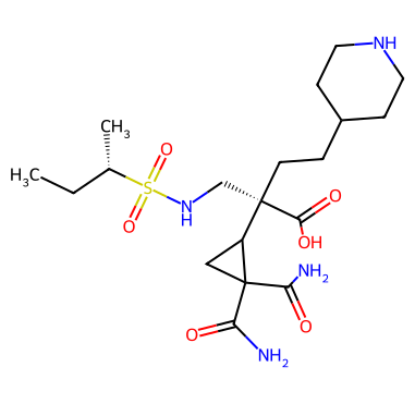 CC[C@H](C)S(=O)(=O)NC[C@](CCC1CCNCC1)(C(=O)O)C1CC1(C(N)=O)C(N)=O